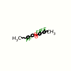 CCCCCc1ccc(C2=CCC(OC(=O)c3ccc(-c4ccc(CC)c(F)c4F)c(F)c3F)CC2)c(F)c1F